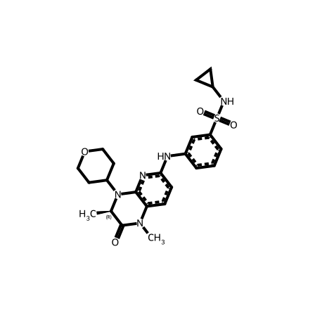 C[C@@H]1C(=O)N(C)c2ccc(Nc3cccc(S(=O)(=O)NC4CC4)c3)nc2N1C1CCOCC1